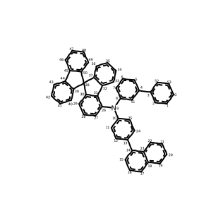 c1ccc(-c2cccc(N(c3ccc(-c4cccc5ccccc45)cc3)c3cccc4c3-c3ccccc3C43c4ccccc4-c4ccccc43)c2)cc1